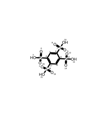 O=S(=O)(O)c1cc(S(=O)(=O)O)c(S(=O)(=O)O)cc1S(=O)(=O)O